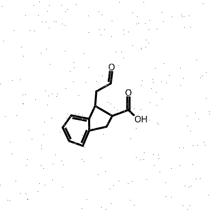 O=CCC1c2ccccc2CC1C(=O)O